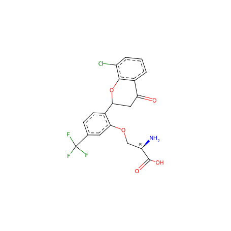 N[C@H](COc1cc(C(F)(F)F)ccc1C1CC(=O)c2cccc(Cl)c2O1)C(=O)O